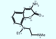 CCN(CCNC)c1cccc2cc(N)c(=O)oc12